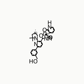 C[C@@H]1CN(c2nc(-c3cccc(CO)c3)ccc2C(=O)NS(=O)(=O)c2ccc[nH]c2=O)C(C)(C)C1